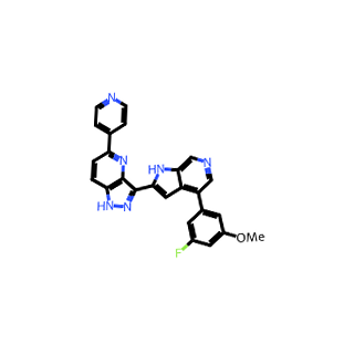 COc1cc(F)cc(-c2cncc3[nH]c(-c4n[nH]c5ccc(-c6ccncc6)nc45)cc23)c1